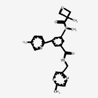 Cc1ccc(-c2cc(C(=O)NCc3cnc(C)cn3)cc(N(C)C(=O)C3(C)COC3)c2)nc1